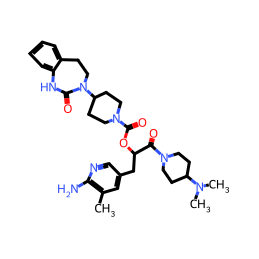 Cc1cc(CC(OC(=O)N2CCC(N3CCc4ccccc4NC3=O)CC2)C(=O)N2CCC(N(C)C)CC2)cnc1N